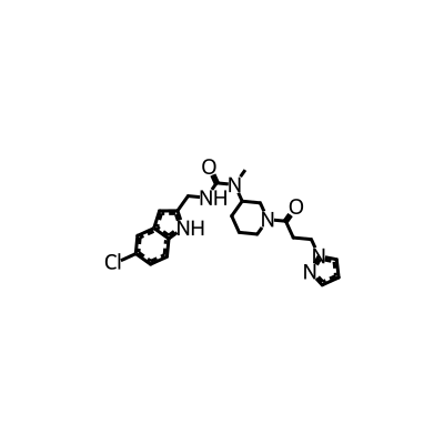 CN(C(=O)NCc1cc2cc(Cl)ccc2[nH]1)C1CCCN(C(=O)CCn2cccn2)C1